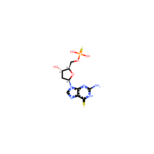 Nc1nc2c(ncn2[C@H]2C[C@H](O)[C@@H](COP(O)(O)=S)O2)c(=S)[nH]1